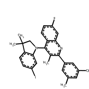 Cc1cc(-c2nc3cc(F)ccc3c(N3CC(C)(C)c4ccc(I)cc43)c2C)cc(C(F)(F)F)c1